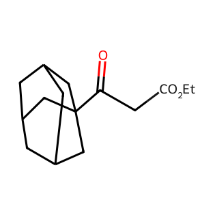 CCOC(=O)CC(=O)C12CC3CC(CC(C3)C1)C2